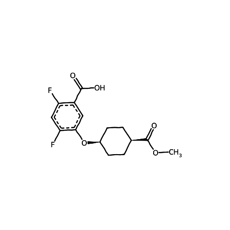 COC(=O)[C@H]1CC[C@@H](Oc2cc(C(=O)O)c(F)cc2F)CC1